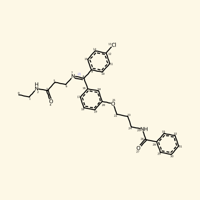 CCNC(=O)CC/N=C(/c1ccc(Cl)cc1)c1cccc(OCCCNC(=O)c2ccccc2)c1